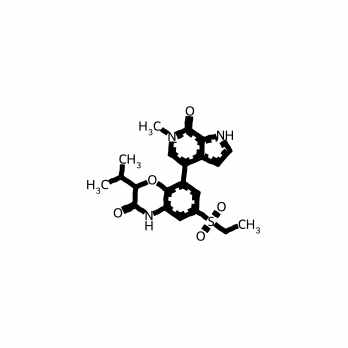 CCS(=O)(=O)c1cc2c(c(-c3cn(C)c(=O)c4[nH]ccc34)c1)OC(C(C)C)C(=O)N2